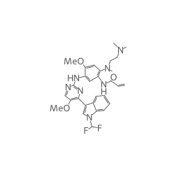 C=CC(=O)Nc1cc(Nc2ncc(OC)c(-c3cn(C(F)F)c4ccccc34)n2)c(OC)cc1N(C)CCN(C)C